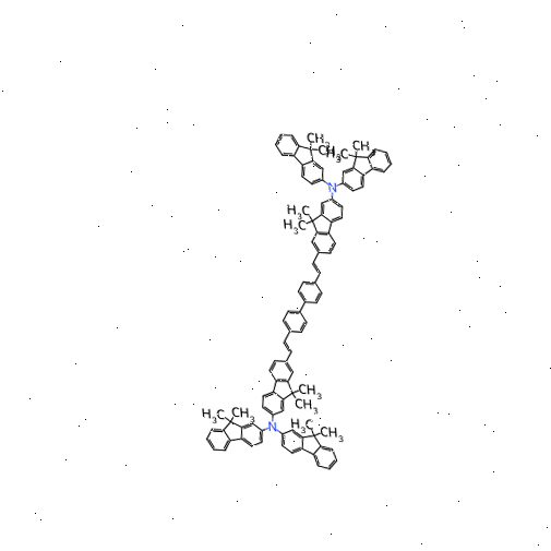 CC1(C)c2ccccc2-c2ccc(N(c3ccc4c(c3)C(C)(C)c3ccccc3-4)c3ccc4c(c3)C(C)(C)c3cc(/C=C/c5ccc(-c6ccc(/C=C/c7ccc8c(c7)C(C)(C)c7cc(N(c9ccc%10c(c9)C(C)(C)c9ccccc9-%10)c9ccc%10c(c9)C(C)(C)c9ccccc9-%10)ccc7-8)cc6)cc5)ccc3-4)cc21